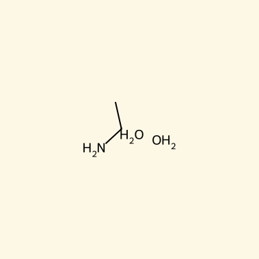 CCN.O.O